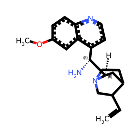 C=CC1CN2CCC1C[C@@H]2[C@H](N)c1ccnc2ccc(OC)cc12